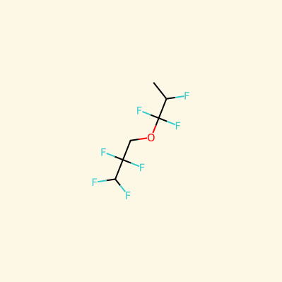 CC(F)C(F)(F)OCC(F)(F)C(F)F